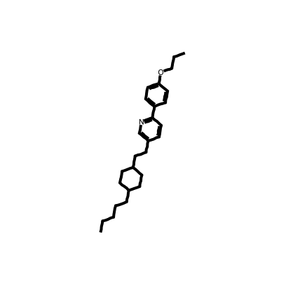 CCCCCC1CCC(CCc2ccc(-c3ccc(OCCC)cc3)nc2)CC1